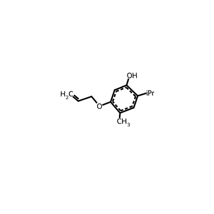 C=CCOc1cc(O)c(C(C)C)cc1C